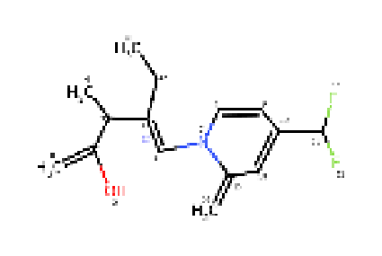 C=C(O)C(C)/C(=C/N1C=CC(C(F)F)=CC1=C)CC